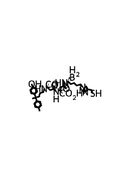 BC[C@H](CCCCn1cc(CS)nn1)NC(=O)C[C@H](NC(=O)C[C@H](NCCCC(C)(c1ccc(C)cc1)c1ccc(O)cc1)C(=O)O)C(=O)O